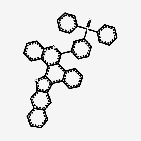 O=P(c1ccccc1)(c1ccccc1)c1cccc(-c2nc3ccccc3c3c4oc5cc6ccccc6cc5c4c4ccccc4c23)c1